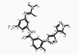 C/C(=N\c1cc(NC(=O)c2ccc(C)c(-n3cc(-c4cnn(C)c4C)nn3)c2)cc(C(F)(F)F)c1)N(C)C